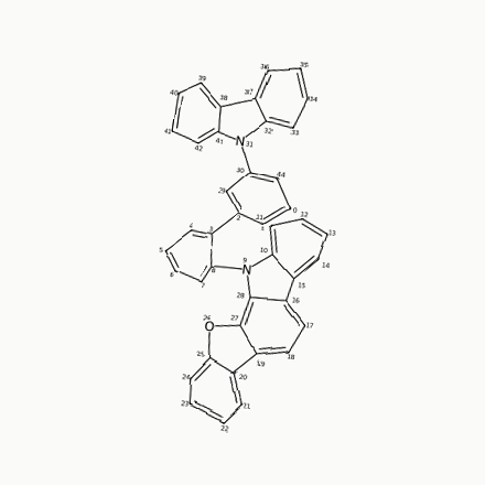 c1cc(-c2ccccc2-n2c3ccccc3c3ccc4c5ccccc5oc4c32)cc(-n2c3ccccc3c3ccccc32)c1